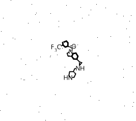 [O-][S+](c1cccc(C(F)(F)F)c1)N1CCc2cc(C3CC3NCC3CCNCC3)ccc21